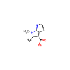 CC1C(C(=O)O)=C2C=CCN=C2N1C